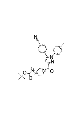 Cc1ccc(-n2nc(C(=O)N3CC[C@H](N(C)C(=O)OC(C)(C)C)C3)cc2-c2ccc(C#N)cc2)cc1